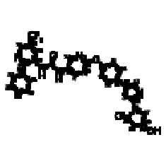 O=C(Nc1cnc(Oc2ccc(-c3cnc(N4C[C@@H](O)CC4=O)s3)cc2)nc1)Nc1cc(C(F)(F)F)cnc1-c1ccccc1